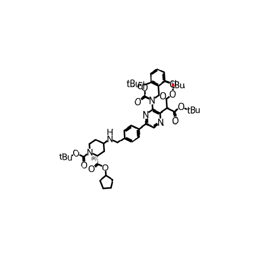 CC(C)(C)OC(=O)C(C(=O)OC(C)(C)C)c1ncc(-c2ccc(CNC3CCN(C(=O)OC(C)(C)C)[C@@H](C(=O)OC4CCCC4)C3)cc2)nc1N(Cc1c(Cl)cccc1Cl)C(=O)OC(C)(C)C